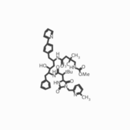 COC(=O)NCC(C)(C)CC(=O)NC(Cc1ccc(-c2ccccn2)cc1)CC(O)C(Cc1ccccc1)NC(=O)C(C1NC(=O)N(Cc2cccc(C)n2)C1=O)C(C)(C)C